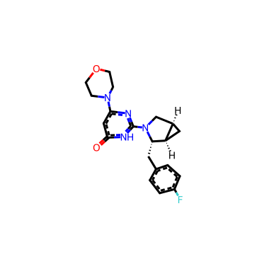 O=c1cc(N2CCOCC2)nc(N2C[C@H]3C[C@H]3[C@@H]2Cc2ccc(F)cc2)[nH]1